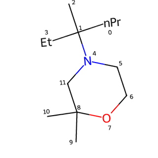 CCCC(C)(CC)N1CCOC(C)(C)C1